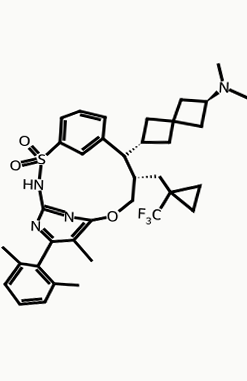 Cc1cccc(C)c1-c1nc2nc(c1C)OC[C@@H](CC1(C(F)(F)F)CC1)C([C@H]1CC3(C1)C[C@H](N(C)C)C3)c1cccc(c1)S(=O)(=O)N2